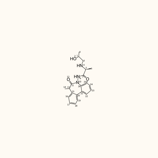 CC(O)CN[C@@H](C)C(=O)NN1C(=O)C(C)c2ccccc2-c2ccccc21